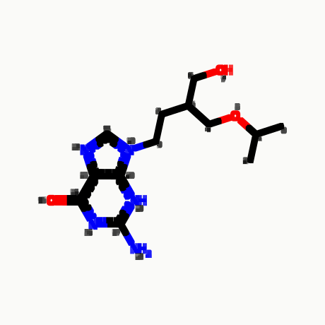 CC(C)OCC(CO)CCn1cnc2c(=O)nc(N)[nH]c21